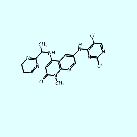 CC(Nc1cc(=O)n(C)c2ncc(Nc3nc(Cl)ncc3Cl)cc12)C1=NCCC=N1